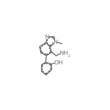 Cn1cnc2ccc(-c3ccccc3O)c(CN)c21